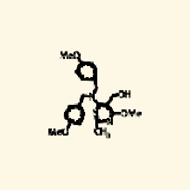 COc1ccc(CN(Cc2ccc(OC)cc2)c2nc(C)nc(OC)c2CO)cc1